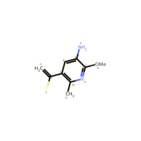 C=C(F)c1cc(N)c(OC)nc1C